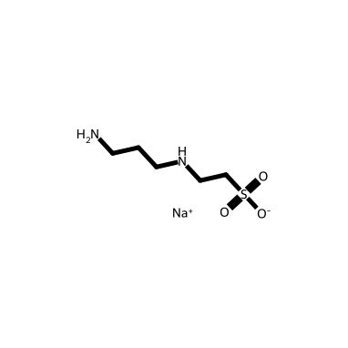 NCCCNCCS(=O)(=O)[O-].[Na+]